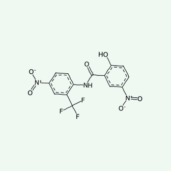 O=C(Nc1ccc([N+](=O)[O-])cc1C(F)(F)F)c1cc([N+](=O)[O-])ccc1O